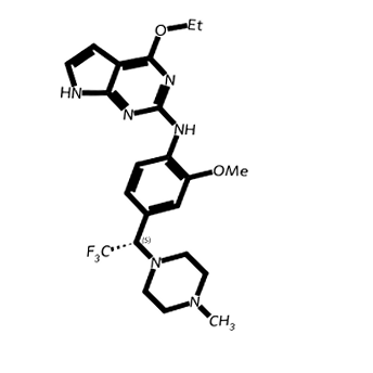 CCOc1nc(Nc2ccc([C@H](N3CCN(C)CC3)C(F)(F)F)cc2OC)nc2[nH]ccc12